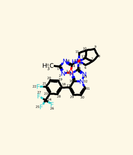 Cc1noc(N2CC3CCC(C2)C3Nc2nc3c(-c4ccc(F)c(C(F)(F)F)c4)cccn3n2)n1